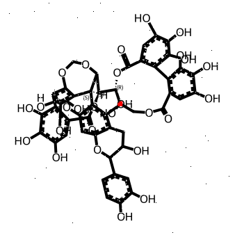 O=C1OCC(O)[C@H]([C@H]2OC(=O)c3cc(O)c(O)c(O)c3-c3c(O)c(O)c(O)c4c3OCOC2[C@H]4c2c(O)cc3c(c2O)CC(O)C(c2ccc(O)c(O)c2)O3)OC(=O)c2cc(O)c(O)c(O)c2-c2c1cc(O)c(O)c2O